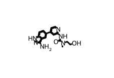 CN(CCO)C(=O)Nc1cc(-c2ccc3[nH]nc(N)c3c2)ccn1